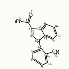 CC(C)C(=O)c1cn(-c2ccccc2C#N)c2ccccc12